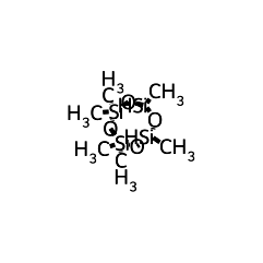 C[SiH]1O[SiH](C)O[Si](C)(C)O[Si](C)(C)O1